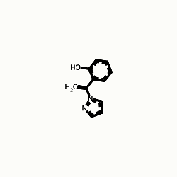 C=C(c1ccccc1O)n1cccn1